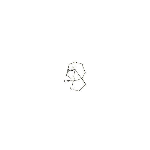 CC(C)[C@@]1(C)C2CCC3C1CO[C@@H]3OC2